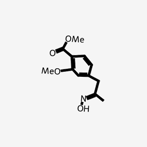 COC(=O)c1ccc(CC(C)=NO)cc1OC